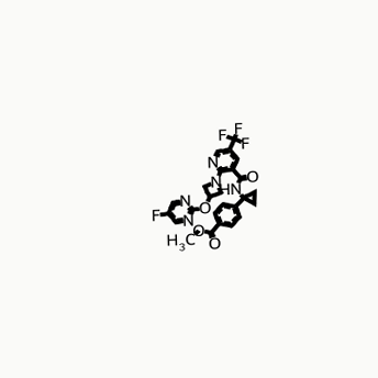 COC(=O)c1ccc(C2(NC(=O)c3cc(C(F)(F)F)cnc3N3CC(Oc4ncc(F)cn4)C3)CC2)cc1